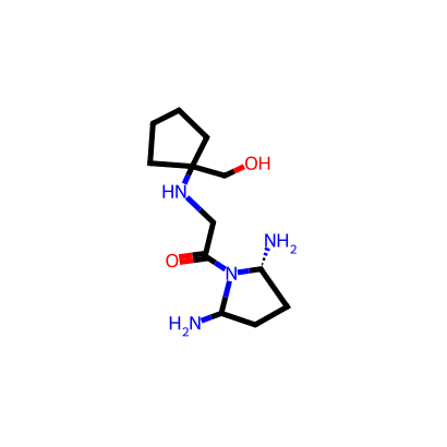 NC1CC[C@@H](N)N1C(=O)CNC1(CO)CCCC1